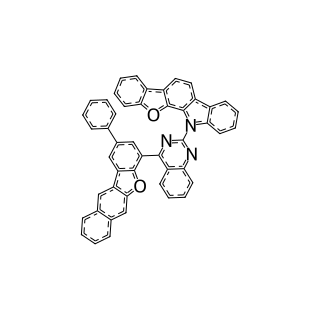 c1ccc(-c2cc(-c3nc(-n4c5ccccc5c5ccc6c7ccccc7oc6c54)nc4ccccc34)c3oc4cc5ccccc5cc4c3c2)cc1